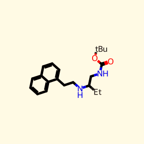 CCC(CNC(=O)OC(C)(C)C)NCCc1cccc2ccccc12